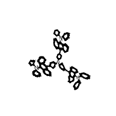 C1=CC(N(c2ccccc2)c2c3ccccc3c(-c3ccc(N(c4ccc(-c5c6ccccc6c(N(c6ccccc6)c6ccccc6)c6ccccc56)cc4)c4ccc(-c5c6ccccc6c(N(c6ccccc6)c6ccccc6)c6ccccc56)cc4)cc3)c3ccccc23)C=C1